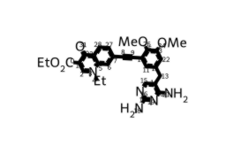 CCOC(=O)c1cn(CC)c2cc(C#Cc3cc(Cc4cnc(N)nc4N)cc(OC)c3OC)ccc2c1=O